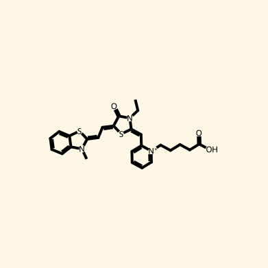 CCn1c(=O)/c(=C/C=C2\Sc3ccccc3N2C)s/c1=C\c1cccc[n+]1CCCCC(=O)O